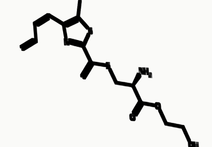 C=C/C=C\c1nc(C(=C)SC[C@@H](N)C(=O)OCCO)sc1C